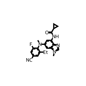 CCc1cc(C#N)cc(F)c1N(C)c1cc(NC(=O)C2CC2)c2ncn(C)c2c1